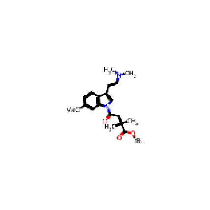 COc1ccc2c(CCN(C)C)cn(C(=O)CC(C)(C)C(=O)OC(C)(C)C)c2c1